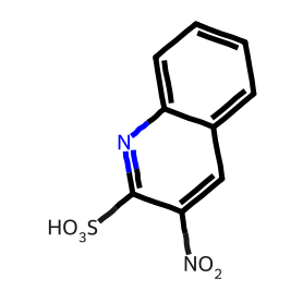 O=[N+]([O-])c1cc2ccccc2nc1S(=O)(=O)O